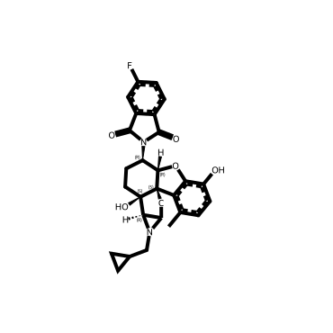 Cc1ccc(O)c2c1[C@]13CC4[C@@H](N4CC4CC4)[C@]1(O)CC[C@@H](N1C(=O)c4ccc(F)cc4C1=O)[C@@H]3O2